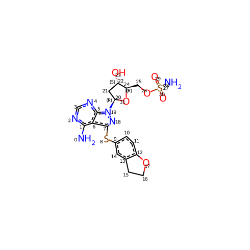 Nc1ncnc2c1c(Sc1ccc3c(c1)CCO3)nn2[C@H]1C[C@H](O)[C@@H](COS(N)(=O)=O)O1